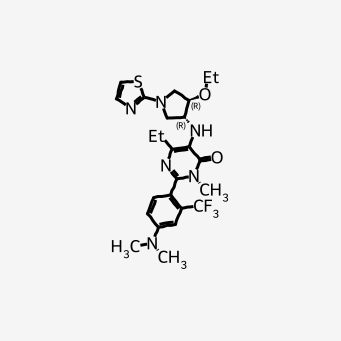 CCO[C@@H]1CN(c2nccs2)C[C@H]1Nc1c(CC)nc(-c2ccc(N(C)C)cc2C(F)(F)F)n(C)c1=O